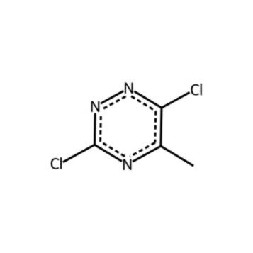 Cc1nc(Cl)nnc1Cl